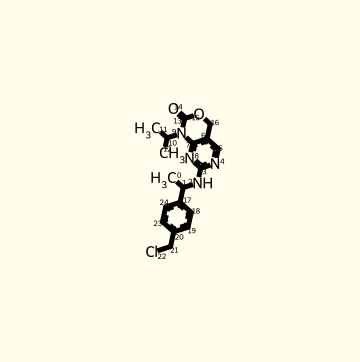 CC(Nc1ncc2c(n1)N(C(C)C)C(=O)OC2)c1ccc(CCl)cc1